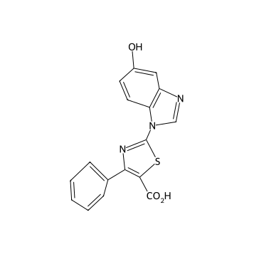 O=C(O)c1sc(-n2cnc3cc(O)ccc32)nc1-c1ccccc1